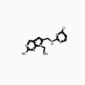 CC(C)(C)Cn1c(CNc2nccc(Cl)n2)cc2cnc(C#N)nc21